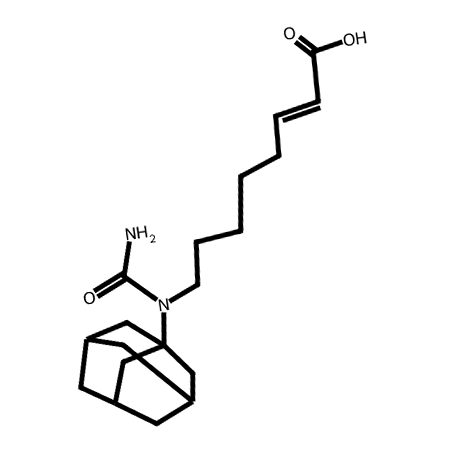 NC(=O)N(CCCCCC=CC(=O)O)C12CC3CC(CC(C3)C1)C2